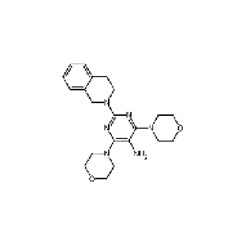 Nc1c(N2CCOCC2)nc(N2CCc3ccccc3C2)nc1N1CCOCC1